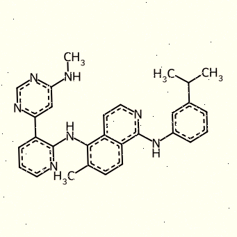 CNc1cc(-c2cccnc2Nc2c(C)ccc3c(Nc4cccc(C(C)C)c4)nccc23)ncn1